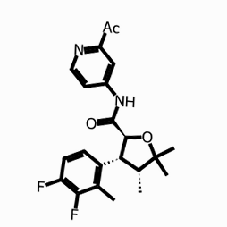 CC(=O)c1cc(NC(=O)[C@H]2OC(C)(C)[C@H](C)[C@@H]2c2ccc(F)c(F)c2C)ccn1